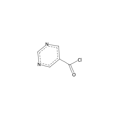 O=C(Cl)c1cncnc1